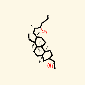 CCC[C@H](O)[C@@H](C)[C@H]1CC[C@H]2[C@@H]3CC[C@@H]4C[C@](O)(CC)CC[C@]4(C)[C@H]3CC[C@]12C